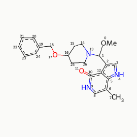 COC(c1c[nH]c2c(C)c[nH]c(=O)c12)N1CCC(OCc2ccccc2)CC1